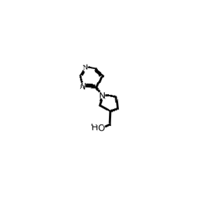 OCC1CCN(c2ccncn2)C1